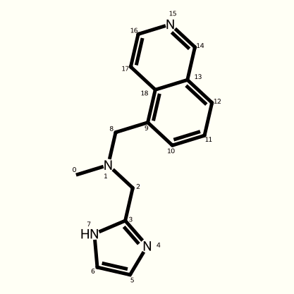 CN(Cc1ncc[nH]1)Cc1cccc2cnccc12